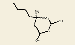 CCCCC1(S)SC(S)SC(S)S1